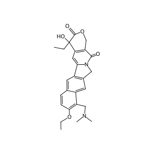 CCOc1ccc2cc3c(cc2c1CN(C)C)Cn1c-3cc2c(c1=O)COC(=O)C2(O)CC